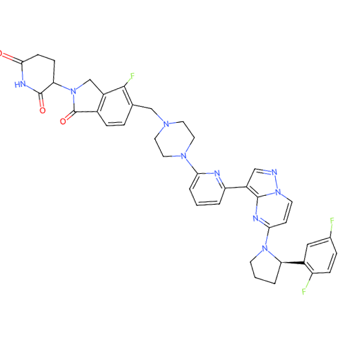 O=C1CCC(N2Cc3c(ccc(CN4CCN(c5cccc(-c6cnn7ccc(N8CCC[C@@H]8c8cc(F)ccc8F)nc67)n5)CC4)c3F)C2=O)C(=O)N1